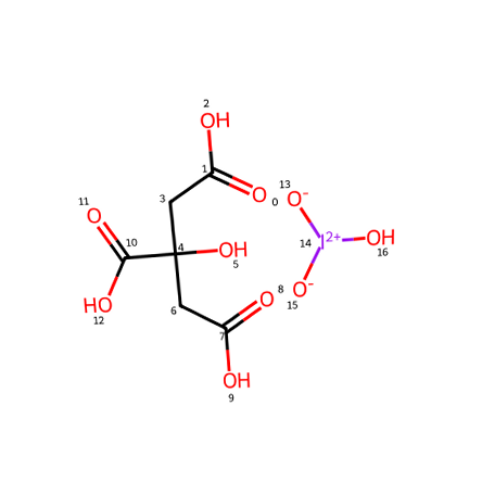 O=C(O)CC(O)(CC(=O)O)C(=O)O.[O-][I+2]([O-])O